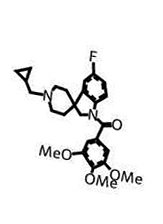 COc1cc(C(=O)N2CC3(CCN(CC4CC4)CC3)c3cc(F)ccc32)cc(OC)c1OC